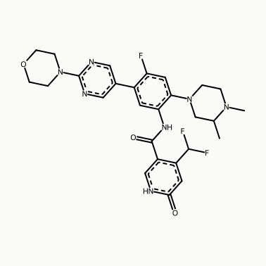 CC1CN(c2cc(F)c(-c3cnc(N4CCOCC4)nc3)cc2NC(=O)c2c[nH]c(=O)cc2C(F)F)CCN1C